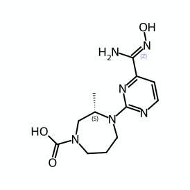 C[C@H]1CN(C(=O)O)CCCN1c1nccc(/C(N)=N/O)n1